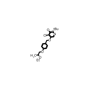 CCOC(C)COc1ccc(COc2cnn(C(C)(C)C)c(=O)c2Cl)cc1